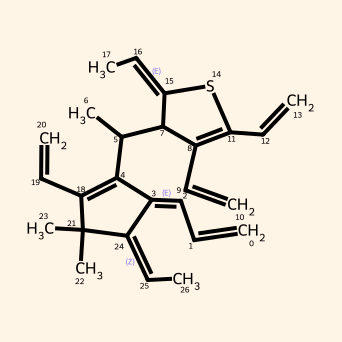 C=C/C=C1/C(C(C)C2C(C=C)=C(C=C)S/C2=C/C)=C(C=C)C(C)(C)/C1=C/C